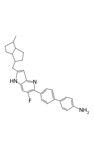 CC1CCC2C(Cc3cc4nc(-c5ccc(-c6ccc(N)cc6)cc5)c(F)cc4[nH]3)CCC12